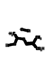 [CH2]C(OC=C(C)C(=O)O)OCC.[CH2]C[O]